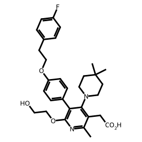 Cc1nc(OCCO)c(-c2ccc(OCCc3ccc(F)cc3)cc2)c(N2CCC(C)(C)CC2)c1CC(=O)O